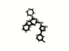 Cc1ccnc(-c2cc(Nc3nc(N4CCOCC4)c4oc5ncccc5c4n3)[nH]n2)c1